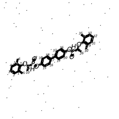 Cc1cccc(C)c1OC(C)[PH](=O)Oc1ccc(-c2ccc(O[PH](=O)C(C)Oc3c(C)cccc3C)cc2)cc1